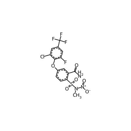 CN([N+](=O)[O-])S(=O)(=O)c1ccc(Oc2c(F)cc(C(F)(F)F)cc2Cl)cc1C(N)=O